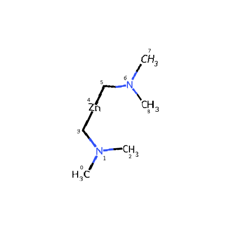 CN(C)[CH2][Zn][CH2]N(C)C